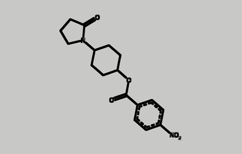 O=C(OC1CCC(N2CCCC2=O)CC1)c1ccc([N+](=O)[O-])cc1